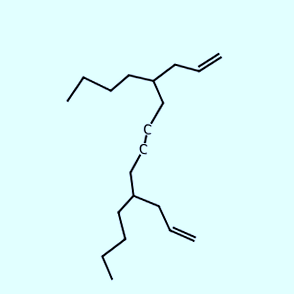 C=CCC(CCCC)CCCCC(CC=C)CCCC